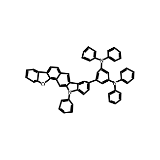 c1ccc(N(c2ccccc2)c2cc(-c3ccc4c(c3)c3cc5ccc6c7ccccc7oc6c5cc3n4-c3ccccc3)cc(N(c3ccccc3)c3ccccc3)c2)cc1